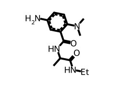 CCNC(=O)C(C)NC(=O)c1cc(N)ccc1N(C)C